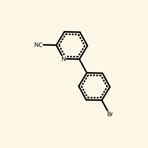 N#Cc1cccc(-c2ccc(Br)cc2)n1